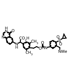 CNCc1cc(NC(=O)OCCc2c(C)cc(C(Nc3ccc4nc[nH]c(=O)c4c3)C(=O)O)cc2C)ccc1S(=O)(=O)C1CC1